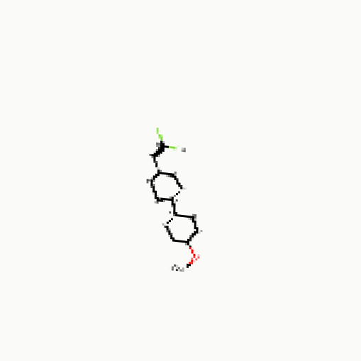 CCCCCCCCCO[C@H]1CC[C@H]([C@H]2CC[C@H](C=C(F)F)CC2)CC1